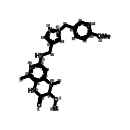 CCOC1C(=O)Nc2c(cc(NCc3cnn(Cc4ccc(OC)nc4)c3)nc2C)N1C